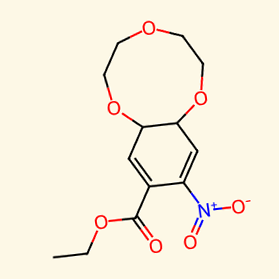 CCOC(=O)C1=CC2OCCOCCOC2C=C1[N+](=O)[O-]